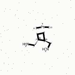 NC[C@@H]1CC[C@H]1CN.[I][Pt][I]